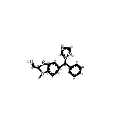 CN1c2ccc(C(c3ccccc3)n3cncn3)cc2SC1C=O